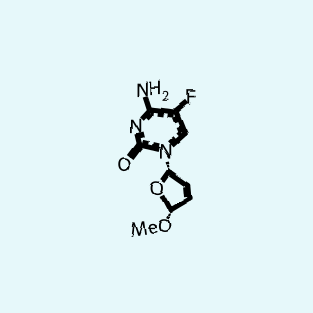 CO[C@H]1C=C[C@@H](n2cc(F)c(N)nc2=O)O1